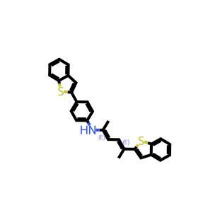 C/C(=C\C=C(/C)c1cc2ccccc2s1)Nc1ccc(-c2cc3ccccc3s2)cc1